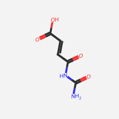 NC(=O)NC(=O)/C=C/C(=O)O